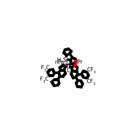 CCCC1=Cc2c(ccc(-c3ccccc3)c2-c2cc(C(F)(F)F)cc(C(F)(F)F)c2)[CH]1[Zr]([Cl])([Cl])([c]1cccc2c1[SiH2]c1ccccc1-2)[CH]1C(CCC)=Cc2c1ccc(-c1ccccc1)c2-c1cc(C(F)(F)F)cc(C(F)(F)F)c1